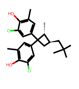 Cc1cc(C2(c3cc(C)c(O)c(Cl)c3)C[C@H](CC(C)(C)C)[C@H]2C)cc(Cl)c1O